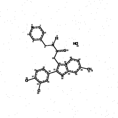 CCN(Cc1ccncc1)C(=O)Cc1c(-c2ccc(Cl)c(Cl)c2)nc2cc(C)ccn12.Cl